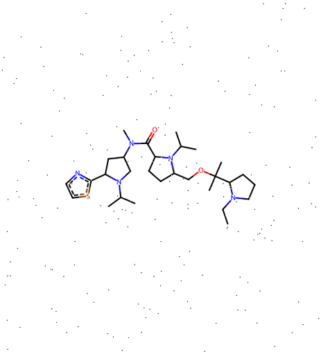 CCN1CCCC1C(C)(C)OCC1CCC(C(=O)N(C)C2CC(c3nccs3)N(C(C)C)C2)N1C(C)C